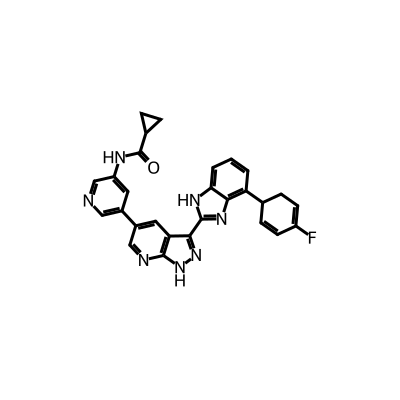 O=C(Nc1cncc(-c2cnc3[nH]nc(-c4nc5c(C6C=CC(F)=CC6)cccc5[nH]4)c3c2)c1)C1CC1